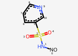 O=NNS(=O)(=O)c1cccnc1